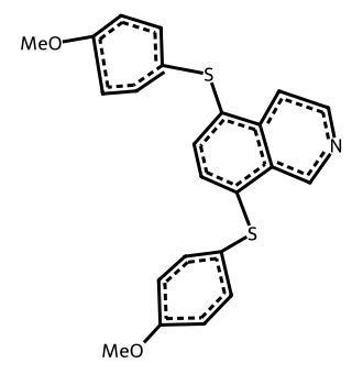 COc1ccc(Sc2ccc(Sc3ccc(OC)cc3)c3cnccc23)cc1